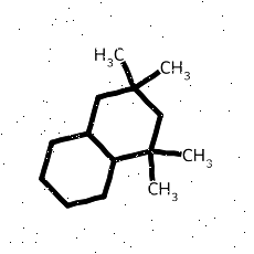 CC1(C)CC2CCCCC2C(C)(C)C1